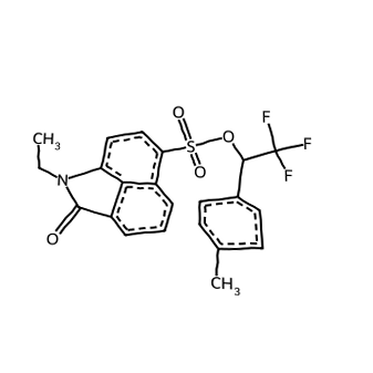 CCN1C(=O)c2cccc3c(S(=O)(=O)OC(c4ccc(C)cc4)C(F)(F)F)ccc1c23